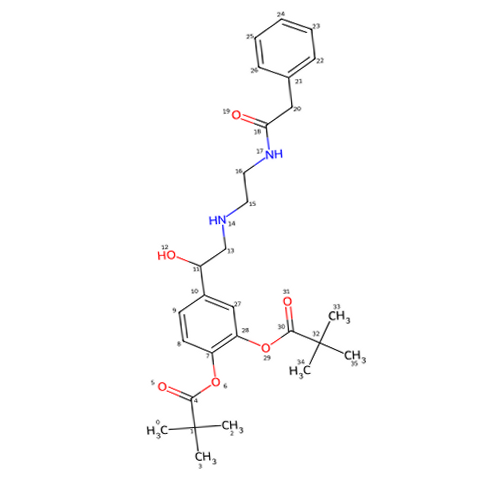 CC(C)(C)C(=O)Oc1ccc(C(O)CNCCNC(=O)Cc2ccccc2)cc1OC(=O)C(C)(C)C